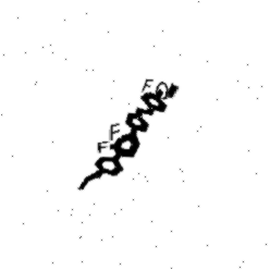 CCCC1CCC(c2ccc(-c3ccc(CCc4ccc(OCC)c(F)c4)cc3)c(F)c2F)CC1